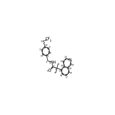 CC(C)(C(=O)NCc1ccc(SC(F)(F)F)cc1)c1cccc2cnccc12